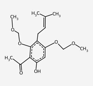 COCOc1cc(O)c(C(C)=O)c(OCOC)c1CC=C(C)C